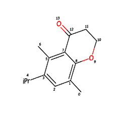 Cc1cc(C(C)C)c(C)c2c1OCCC2=O